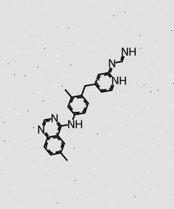 Cc1ccc2ncnc(Nc3ccc(Cc4cc[nH]/c(=N\C=N)c4)c(C)c3)c2c1